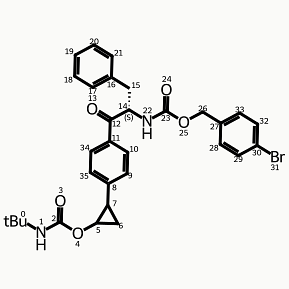 CC(C)(C)NC(=O)OC1CC1c1ccc(C(=O)[C@H](Cc2ccccc2)NC(=O)OCc2ccc(Br)cc2)cc1